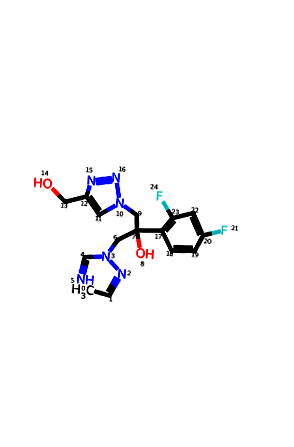 C/C=N\N(C=N)CC(O)(Cn1cc(CO)nn1)c1ccc(F)cc1F